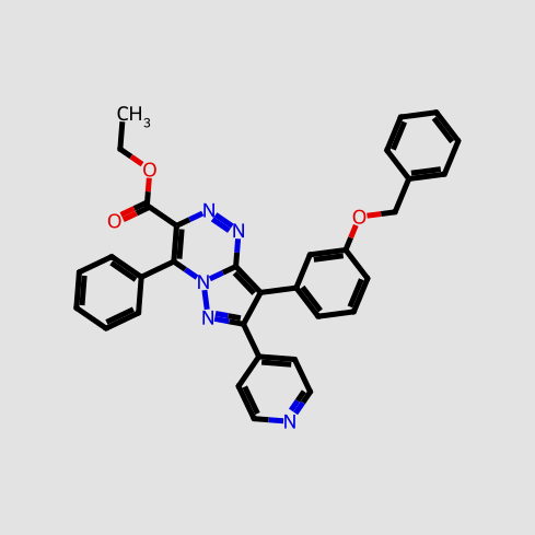 CCOC(=O)c1nnc2c(-c3cccc(OCc4ccccc4)c3)c(-c3ccncc3)nn2c1-c1ccccc1